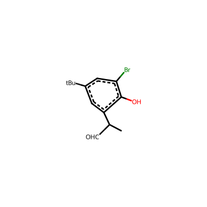 CC(C=O)c1cc(C(C)(C)C)cc(Br)c1O